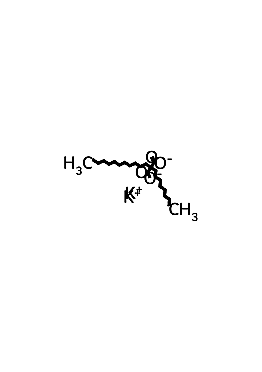 CCCCCCCCCCCCC(CCCCCCCCC)(C(=O)[O-])C(=O)[O-].[K+].[K+]